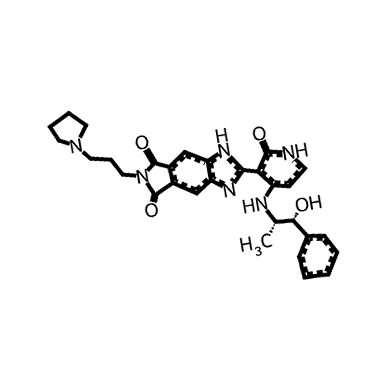 C[C@H](Nc1cc[nH]c(=O)c1-c1nc2cc3c(cc2[nH]1)C(=O)N(CCCN1CCCC1)C3=O)[C@H](O)c1ccccc1